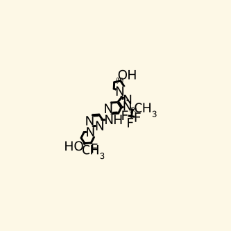 C[C@@H](n1nc(N2CC[C@@H](O)C2)c2cnc(Nc3ccnc(N4CCC(C)(O)C(F)C4)n3)cc21)C(F)(F)F